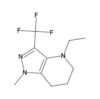 CCN1CCCc2c1c(C(F)(F)F)nn2C